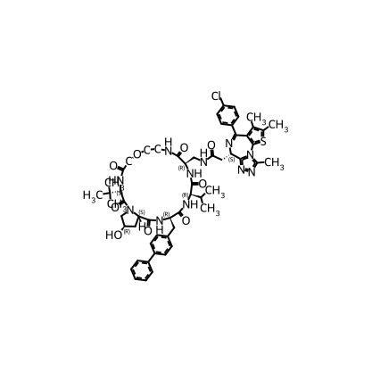 Cc1sc2c(c1C)C(c1ccc(Cl)cc1)=N[C@@H](CC(=O)NC[C@H]1NC(=O)[C@@H](C(C)C)NC(=O)[C@@H](Cc3ccc(-c4ccccc4)cc3)NC(=O)[C@@H]3C[C@@H](O)CN3C(=O)[C@H](C(C)(C)C)NC(=O)COCCNC1=O)c1nnc(C)n1-2